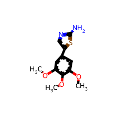 COc1cc(-c2cnc(N)s2)cc(OC)c1OC